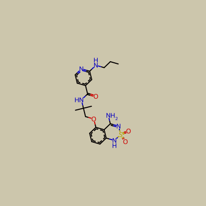 CCCNc1cc(C(=O)NC(C)(C)COc2cccc3c2C(N)=NS(=O)(=O)N3)ccn1